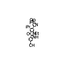 C#Cc1ccc2c(c1)[nH]c1c2c(=O)c2cc(C(C)C)c(-c3cncc(S(=O)(=O)F)c3)cc2n1CC